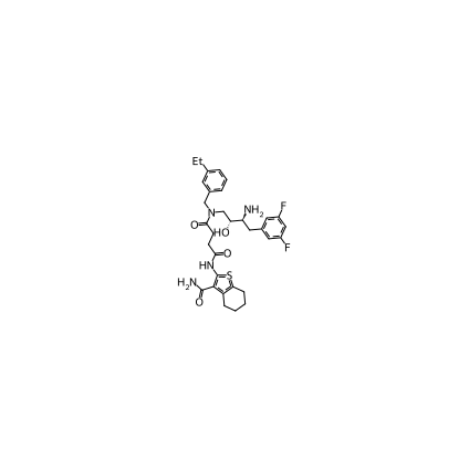 CCc1cccc(CN(C[C@@H](O)[C@@H](N)Cc2cc(F)cc(F)c2)C(=O)CCC(=O)Nc2sc3c(c2C(N)=O)CCCC3)c1